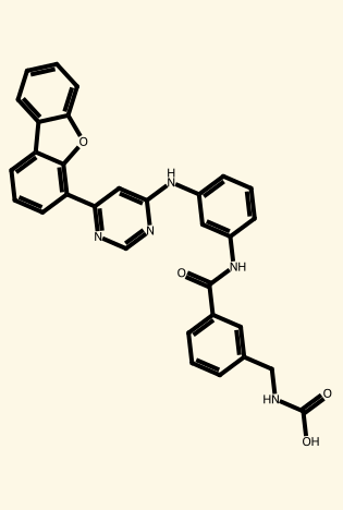 O=C(O)NCc1cccc(C(=O)Nc2cccc(Nc3cc(-c4cccc5c4oc4ccccc45)ncn3)c2)c1